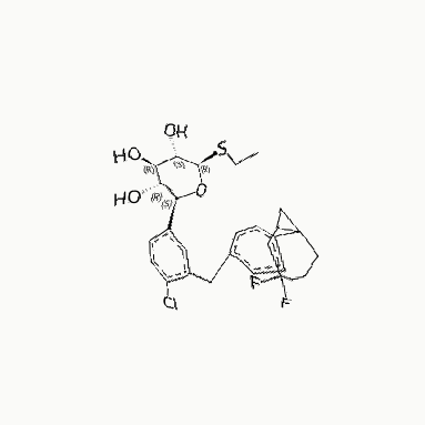 CCS[C@H]1O[C@@H](c2ccc(Cl)c(Cc3ccc(C45CCC(F)(F)CC4C5)cc3)c2)[C@H](O)[C@@H](O)[C@@H]1O